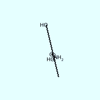 CCCCCCCCCCCCC/C=C/C(O)C(N)COC(=O)CCCCCCCCCCCCCCCCCCCCCCCO